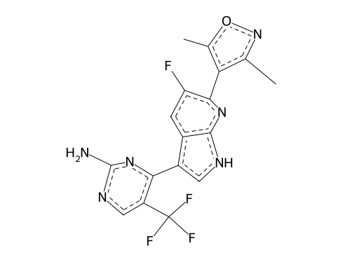 Cc1noc(C)c1-c1nc2[nH]cc(-c3nc(N)ncc3C(F)(F)F)c2cc1F